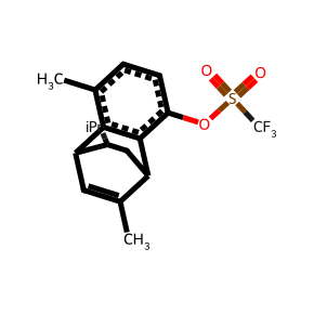 CC1=CC2c3c(C)ccc(OS(=O)(=O)C(F)(F)F)c3C1CC2C(C)C